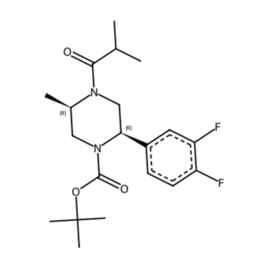 CC(C)C(=O)N1C[C@@H](c2ccc(F)c(F)c2)N(C(=O)OC(C)(C)C)C[C@H]1C